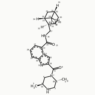 C[C@@H]1CN[C@@H](C)CN1C(=O)c1cn2c(C(=O)NC[C@@H]3CC[C@H]4C[C@@H]3C4(C)C)cccc2n1